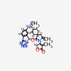 CC1=C(N2C(=O)C3(CCC(N(C)Cc4ccc5c(c4)Cn4nnnc4-5)CC3)C[C@@H]2C)COC1=O